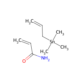 C=CC(N)=O.C=C[CH2][Sn]([CH3])([CH3])[CH3]